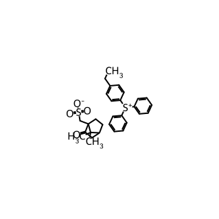 CC1(C)C2CCC1(CS(=O)(=O)[O-])C(=O)C2.CCc1ccc([S+](c2ccccc2)c2ccccc2)cc1